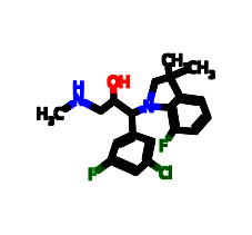 CNCC(O)C(c1cc(F)cc(Cl)c1)N1CC(C)(C)c2cccc(F)c21